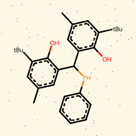 Cc1cc(C(Pc2ccccc2)c2cc(C)cc(C(C)(C)C)c2O)c(O)c(C(C)(C)C)c1